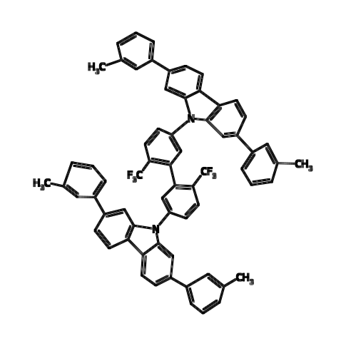 Cc1cccc(-c2ccc3c4ccc(-c5cccc(C)c5)cc4n(-c4ccc(C(F)(F)F)c(-c5cc(-n6c7cc(-c8cccc(C)c8)ccc7c7ccc(-c8cccc(C)c8)cc76)ccc5C(F)(F)F)c4)c3c2)c1